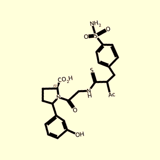 CC(=O)C(Cc1ccc(S(N)(=O)=O)cc1)C(=S)NCC(=O)N1C(c2cccc(O)c2)CC[C@H]1C(=O)O